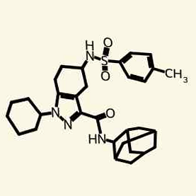 Cc1ccc(S(=O)(=O)NC2CCc3c(c(C(=O)NC4C5CC6CC(C5)CC4C6)nn3C3CCCCC3)C2)cc1